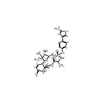 Cc1nc(-c2ccc(OP(=O)(N[C@@H](C)C(=O)OC(C)C)OC[C@H]3O[C@@H](n4ccc(=O)[nH]c4=O)[C@](C)(S)[C@@H]3O)cc2)cs1